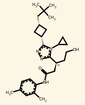 Cc1ccc(NC(=O)C[C@H](CCO)c2nnc([C@H]3C[C@@H](CC(C)(C)C)C3)n2C2CC2)c(C)c1